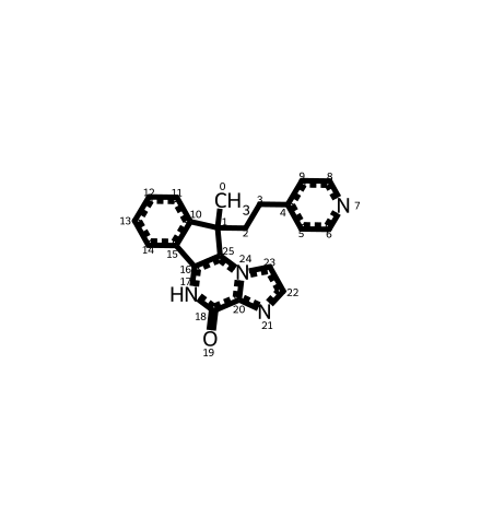 CC1(CCc2ccncc2)c2ccccc2-c2[nH]c(=O)c3nccn3c21